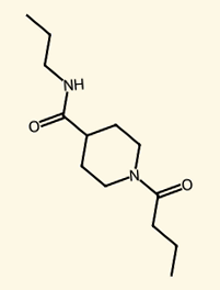 CCCNC(=O)C1CCN(C(=O)CCC)CC1